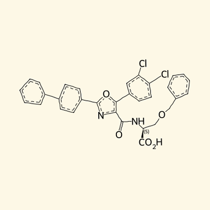 O=C(N[C@@H](COCc1ccccc1)C(=O)O)c1nc(-c2ccc(-c3ccccc3)cc2)oc1-c1ccc(Cl)c(Cl)c1